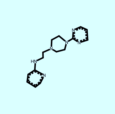 c1ccc(NCCN2CCN(c3ncccn3)CC2)nc1